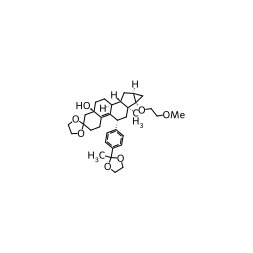 COCCO[C@@]12C[C@@H]1C[C@H]1[C@@H]3CC[C@@]4(O)CC5(CCC4=C3[C@@H](c3ccc(C4(C)OCCO4)cc3)C[C@@]12C)OCCO5